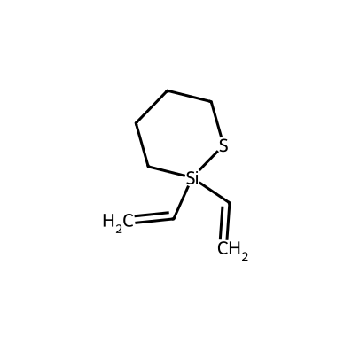 C=C[Si]1(C=C)CCCCS1